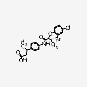 CC(Oc1ccc(Cl)cc1Br)C(=O)Nc1ccc(C(C)CC(=O)O)cc1